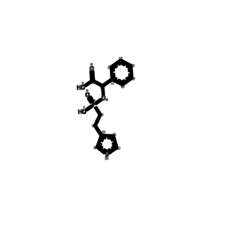 O=C(O)C(OP(=O)(O)CCc1ccsc1)c1ccccc1